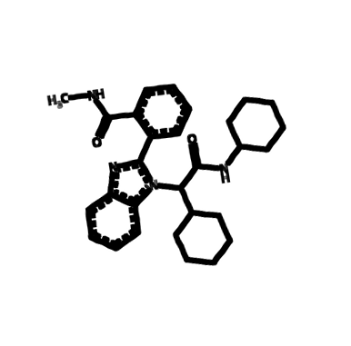 CNC(=O)c1ccccc1-c1nc2ccccc2n1C(C(=O)NC1CCCCC1)C1CCCCC1